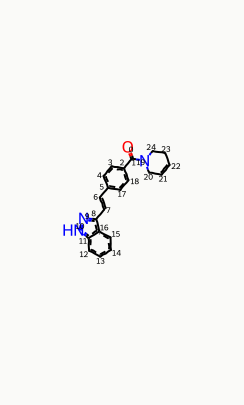 O=C(c1ccc(C=Cc2n[nH]c3ccccc23)cc1)N1CC=CCC1